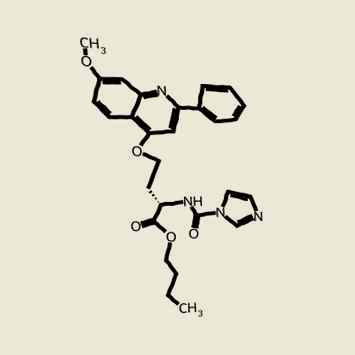 CCCCOC(=O)[C@H](CCOc1cc(-c2ccccc2)nc2cc(OC)ccc12)NC(=O)n1ccnc1